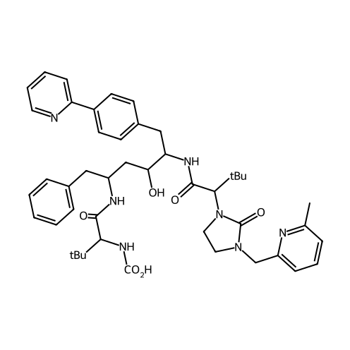 Cc1cccc(CN2CCN(C(C(=O)NC(Cc3ccc(-c4ccccn4)cc3)C(O)CC(Cc3ccccc3)NC(=O)C(NC(=O)O)C(C)(C)C)C(C)(C)C)C2=O)n1